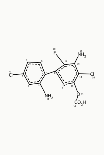 Nc1cc(Cl)ccc1-c1nc(OC(=O)O)c(Cl)c(N)c1F